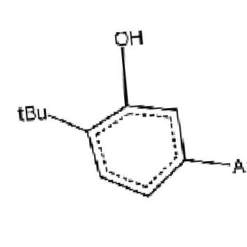 CC(=O)c1ccc(C(C)(C)C)c(O)c1